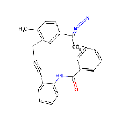 Cc1ccc(C(=[N+]=[N-])C(=O)O)cc1CC#Cc1ccccc1NC(=O)c1ccccc1